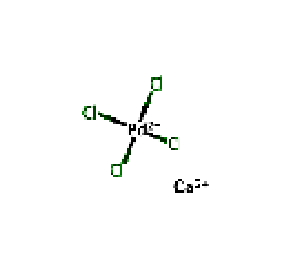 [Ca+2].[Cl][Pd-2]([Cl])([Cl])[Cl]